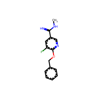 CNC(=N)c1cnc(OCc2ccccc2)c(F)c1